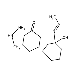 C/N=N/C1(O)CCCCC1.CNN.O=C1CCCCC1